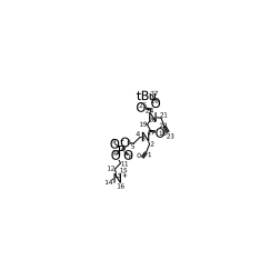 C#CCN(CCOP(=O)([O-])OCC[N+](C)(C)C)C(=O)CN(CC#C)C(=O)OC(C)(C)C